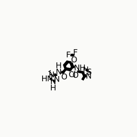 Cc1nsnc1C(=O)Nc1c(OC(F)F)ccc(C(=O)NC2=NNNN2C)c1Cl